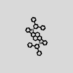 C1=CCCC(c2cc(C3=CCCC=C3)cc(-n3c4ccccc4c4cc5c6c(c43)CCc3cc4c7ccccc7n(C7C=C(c8ccccc8)C=C(c8ccccc8)C7)c4c(c3-6)CC5)c2)=C1